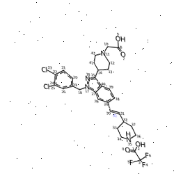 O=C(O)C(F)(F)F.O=C(O)CN1CCC(c2nn(Cc3ccc(Cl)c(Cl)c3)c3cc(/C=C/C4CCNCC4)ccc23)CC1